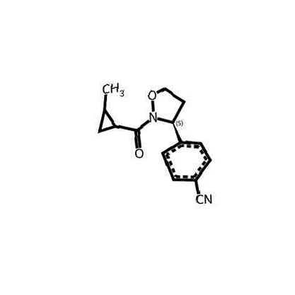 CC1CC1C(=O)N1OCC[C@H]1c1ccc(C#N)cc1